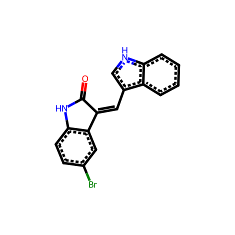 O=C1Nc2ccc(Br)cc2C1=Cc1c[nH]c2ccccc12